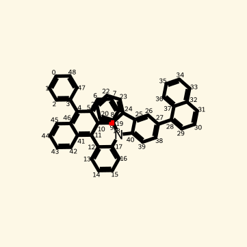 c1ccc(-c2c3ccccc3c(-c3ccccc3-n3c4ccccc4c4cc(-c5cccc6ccccc56)ccc43)c3ccccc23)cc1